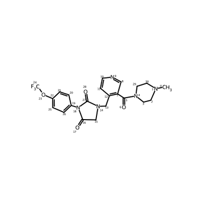 CN1CCN(C(=O)c2cnccc2CN2CC(=O)N(c3ccc(OC(F)(F)F)cc3)C2=O)CC1